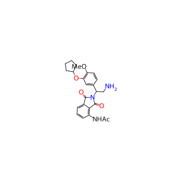 COc1ccc(C(CN)N2C(=O)c3cccc(NC(C)=O)c3C2=O)cc1OC1CCCC1